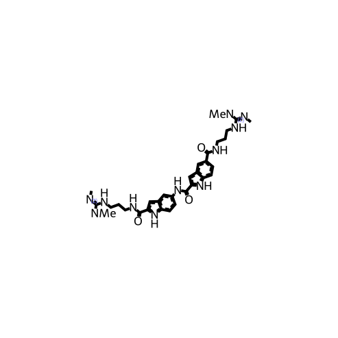 C/N=C(/NC)NCCCNC(=O)c1ccc2[nH]c(C(=O)Nc3ccc4[nH]c(C(=O)NCCCN/C(=N\C)NC)cc4c3)cc2c1